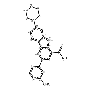 NC(=O)c1cc(-c2cccc(C=O)c2)nc2c1[nH]c1cc(N3CCOCC3)ccc12